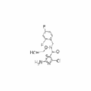 C#CCON(Cc1ccc(F)cc1F)C(=O)c1sc(N)nc1Cl